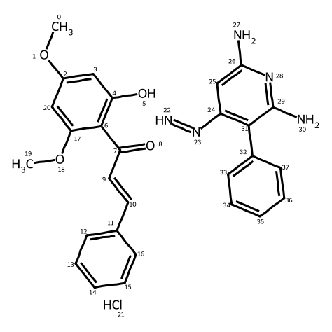 COc1cc(O)c(C(=O)C=Cc2ccccc2)c(OC)c1.Cl.N=Nc1cc(N)nc(N)c1-c1ccccc1